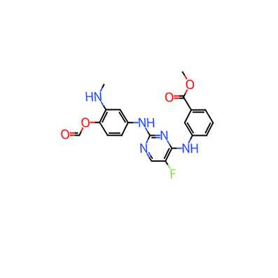 CNc1cc(Nc2ncc(F)c(Nc3cccc(C(=O)OC)c3)n2)ccc1OC=O